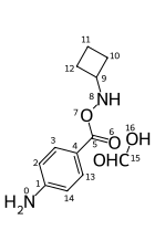 Nc1ccc(C(=O)ONC2CCC2)cc1.O=CO